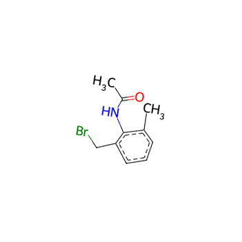 CC(=O)Nc1c(C)cccc1CBr